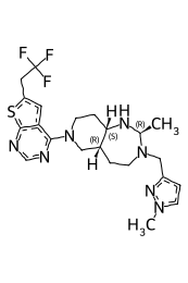 C[C@@H]1N[C@H]2CCN(c3ncnc4sc(CC(F)(F)F)cc34)C[C@H]2CCN1Cc1ccn(C)n1